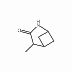 CC1C(=O)NC2CC1C2